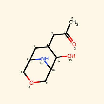 CC(=O)CC1CC2COCC(N2)C1O